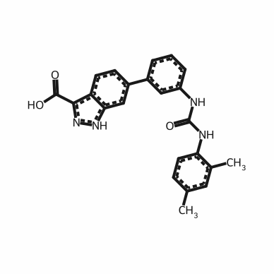 Cc1ccc(NC(=O)Nc2cccc(-c3ccc4c(C(=O)O)n[nH]c4c3)c2)c(C)c1